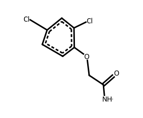 [NH]C(=O)COc1ccc(Cl)cc1Cl